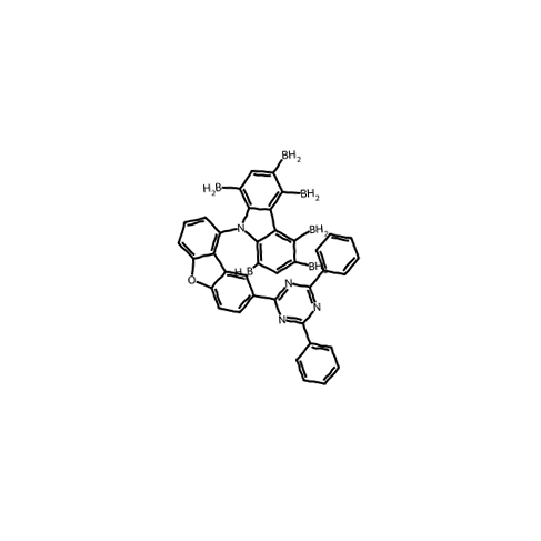 Bc1cc(B)c2c(c1B)c1c(B)c(B)cc(B)c1n2-c1cccc2oc3ccc(-c4nc(-c5ccccc5)nc(-c5ccccc5)n4)cc3c12